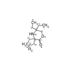 CCC1(CC)COC(=O)C(CC)(CC)N1